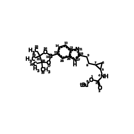 CC(C)(C)OC(=O)NC1CC1CCc1nc2ccc(B3OC(C)(C)C(C)(C)O3)cc2[nH]1